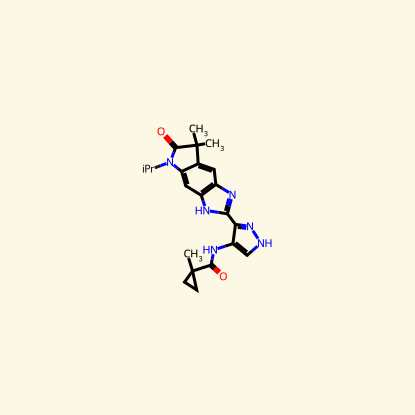 CC(C)N1C(=O)C(C)(C)c2cc3nc(-c4n[nH]cc4NC(=O)C4(C)CC4)[nH]c3cc21